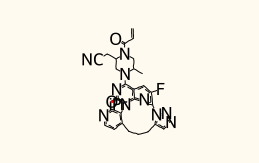 C=CC(=O)N1CC(C)N(c2nc(=O)n3c4nc(c(F)cc24)-n2nncc2CCCc2ccnc(C(C)C)c2-3)CC1CC#N